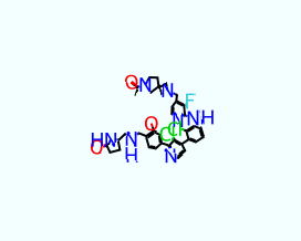 COc1cc(-c2nccc(-c3cccc(Nc4nccc(CN5CC6(CCN(C(C)=O)C6)C5)c4F)c3Cl)c2Cl)ccc1CNCC1CCC(=O)N1